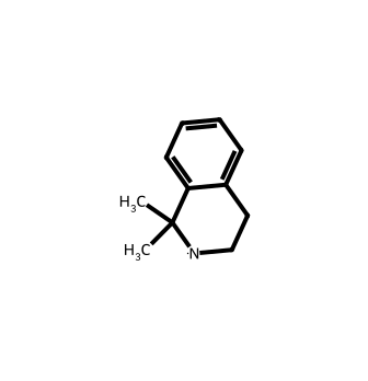 CC1(C)[N]CCc2ccccc21